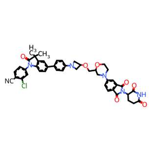 CC1(C)C(=O)N(c2ccc(C#N)c(Cl)c2)c2ccc(-c3ccc(N4CC(OCC5CN(c6ccc7c(c6)C(=O)N(C6CCC(=O)NC6=O)C7=O)CCO5)C4)cc3)cc21